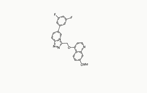 COc1ccc2c(OCc3nnc4ccc(-c5cc(F)cc(F)c5)cn34)ccnc2c1